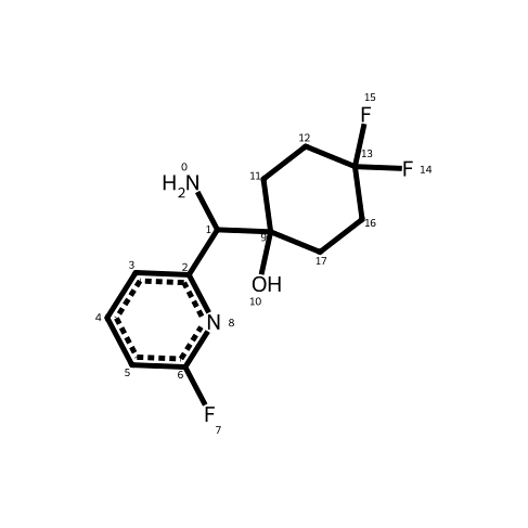 NC(c1cccc(F)n1)C1(O)CCC(F)(F)CC1